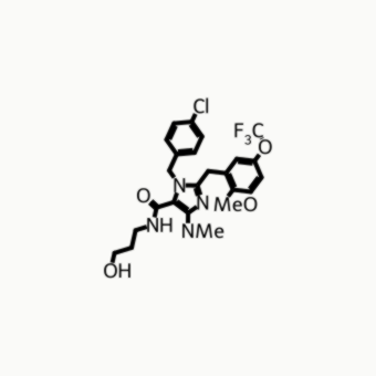 CNc1nc(Cc2cc(OC(F)(F)F)ccc2OC)n(Cc2ccc(Cl)cc2)c1C(=O)NCCCO